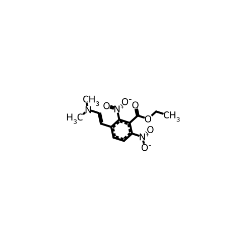 CCOC(=O)c1c([N+](=O)[O-])ccc(C=CN(C)C)c1[N+](=O)[O-]